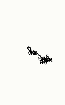 N#CN=C(NCCCCCN1CCN(C(=O)c2ccccc2)CC1)Nc1c(F)cncc1F